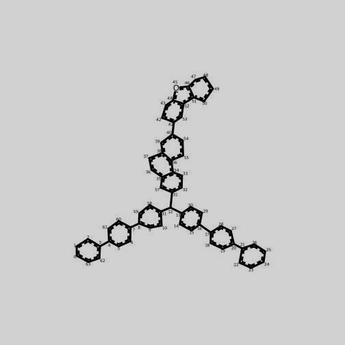 c1ccc(-c2ccc(-c3ccc(C(c4ccc(-c5ccc(-c6ccccc6)cc5)cc4)c4ccc5c(ccc6cc(-c7ccc8oc9ccccc9c8c7)ccc65)c4)cc3)cc2)cc1